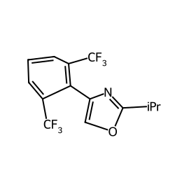 CC(C)c1nc(-c2c(C(F)(F)F)cccc2C(F)(F)F)co1